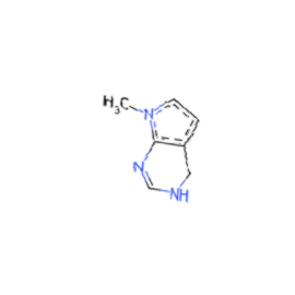 Cn1ccc2c1N=CNC2